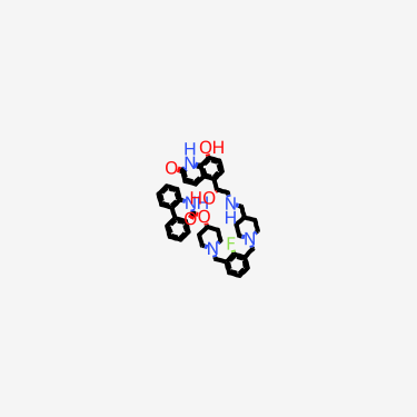 O=C(Nc1ccccc1-c1ccccc1)OC1CCN(Cc2cccc(CN3CCC(CNCC(O)c4ccc(O)c5[nH]c(=O)ccc45)CC3)c2F)CC1